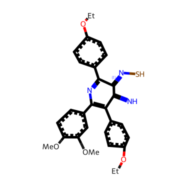 CCOc1ccc(C2=NC(c3ccc(OC)c(OC)c3)=C(c3ccc(OCC)cc3)C(=N)/C2=N\S)cc1